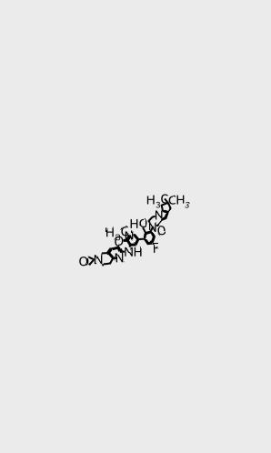 Cn1cc(-c2cc(F)cc(N3CCn4c(cc5c4CC(C)(C)C5)C3=O)c2CO)cc(Nc2ccc3c(n2)CCN(C2COC2)C3)c1=O